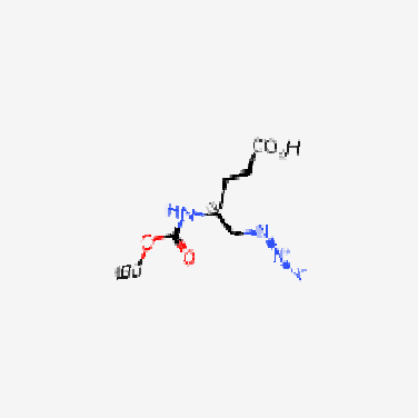 CC(C)(C)OC(=O)N[C@@H](CCC(=O)O)CN=[N+]=[N-]